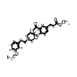 COC(=O)/C=C/c1ccc2c(c1)C(=O)CC1(CCN(CCc3cccc(OC)c3)CC1)O2